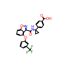 O=C(O)c1ccc(C2(NC(=O)c3noc4cccc(Oc5cccc(C(F)(F)F)c5)c34)CC2)cc1